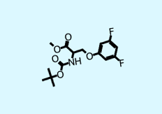 COC(=O)C(COc1cc(F)cc(F)c1)NC(=O)OC(C)(C)C